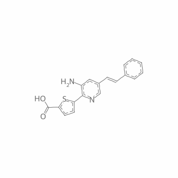 Nc1cc(C=Cc2ccccc2)cnc1-c1ccc(C(=O)O)s1